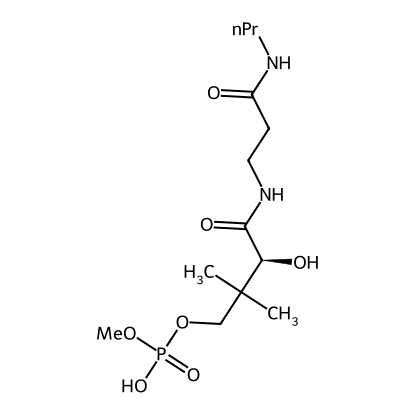 CCCNC(=O)CCNC(=O)[C@@H](O)C(C)(C)COP(=O)(O)OC